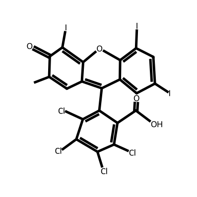 Cc1cc2c(-c3c(Cl)c(Cl)c(Cl)c(Cl)c3C(=O)O)c3cc(I)cc(I)c3oc-2c(I)c1=O